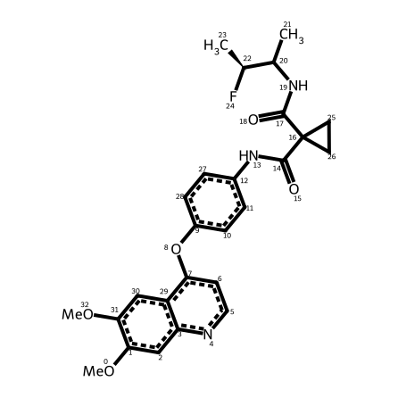 COc1cc2nccc(Oc3ccc(NC(=O)C4(C(=O)NC(C)[C@H](C)F)CC4)cc3)c2cc1OC